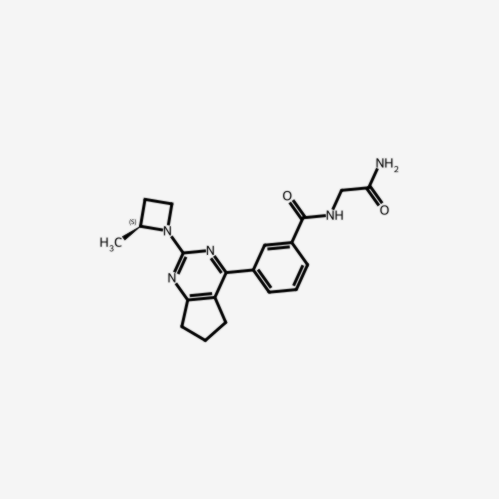 C[C@H]1CCN1c1nc2c(c(-c3cccc(C(=O)NCC(N)=O)c3)n1)CCC2